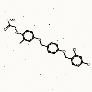 COC(=O)COc1ccc(SCc2ccc(OCc3ccc(Cl)cc3Cl)cc2)cc1C